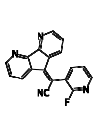 N#CC(=C1c2cccnc2-c2ncccc21)c1cccnc1F